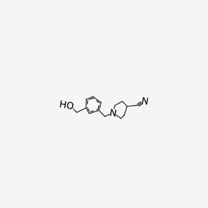 N#CC1CCN(Cc2cccc(CO)c2)CC1